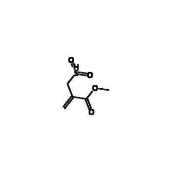 C=C(C[SH](=O)=O)C(=O)OC